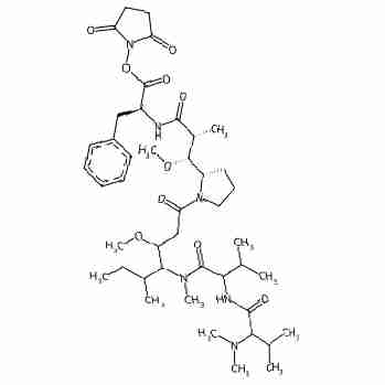 CCC(C)C(C(CC(=O)N1CCC[C@H]1[C@H](OC)[C@@H](C)C(=O)N[C@@H](Cc1ccccc1)C(=O)ON1C(=O)CCC1=O)OC)N(C)C(=O)C(NC(=O)C(C(C)C)N(C)C)C(C)C